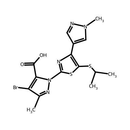 Cc1nn(-c2nc(-c3cnn(C)c3)c(SC(C)C)s2)c(C(=O)O)c1Br